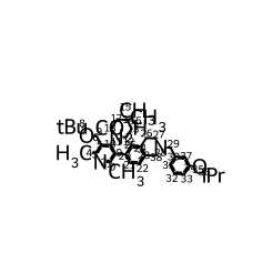 Cc1nc(C)c(C(OC(C)(C)C)C(=O)O)c(N2CCC(C)(C)CC2)c1-c1ccc2c(c1)CCN(Cc1cccc(OC(C)C)c1)C2